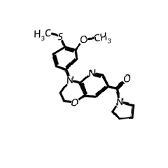 COc1cc(N2CCOc3cc(C(=O)N4CCCC4)cnc32)ccc1SC